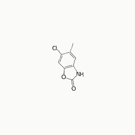 Cc1cc2[nH]c(=O)oc2cc1Cl